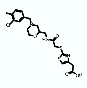 Cc1ccc(CN2CCOC(CNC(=O)CSc3nc(CC(=O)O)cs3)C2)cc1Cl